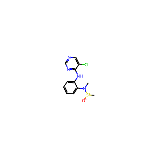 CN(c1ccccc1Nc1ncncc1Cl)[S+](C)[O-]